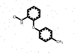 Cc1ccc(Oc2ccccc2NCl)cc1